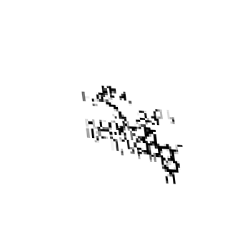 COC(=O)[C@]12C[C@H]1[C@@](C)(c1cc(/C=C(/F)c3ccc(Cl)cn3)cnc1F)N=C(N(COCC[Si](C)(C)C)C(=O)OC(C)(C)C)S2